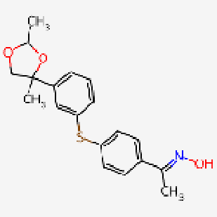 CC(=NO)c1ccc(Sc2cccc(C3(C)COC(C)O3)c2)cc1